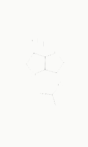 CC(C)O[C@H]1CO[C@@H]2[C@@H](O)CO[C@]12C